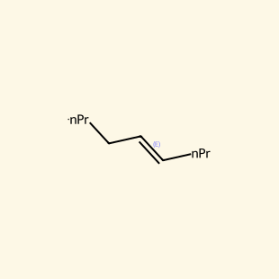 CC[CH]C/C=C/CCC